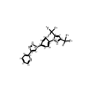 FC(F)(F)c1cc(C(F)(F)F)n(-c2ccc(-n3cc(-c4ccccn4)nn3)cc2)n1